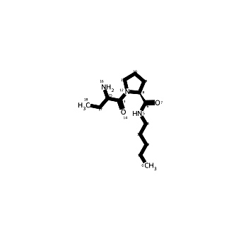 CCCCCNC(=O)[C@@H]1CCCN1C(=O)C(N)CC